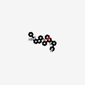 c1ccc(C2Nc3ccc4ccc5c(N(c6ccccc6)c6ccccc6-c6cccc7c6sc6c(-c8ccncc8)cccc67)cccc5c4c3S2)cc1